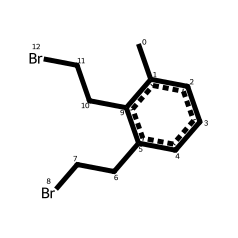 Cc1cccc(CCBr)c1CCBr